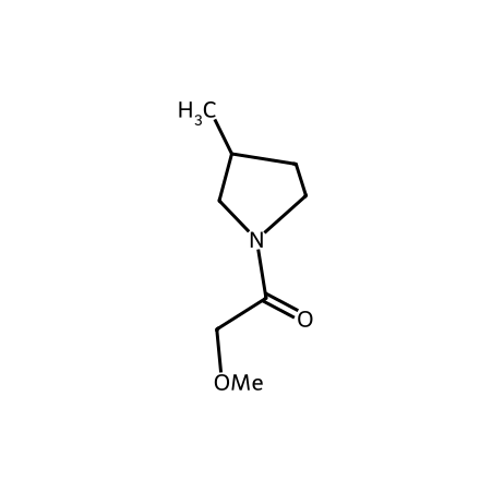 COCC(=O)N1CCC(C)C1